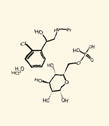 CC(C)NCC(O)c1ccccc1Cl.Cl.O.O=P(O)(O)OC[C@H]1O[C@H](O)[C@H](O)[C@@H](O)[C@@H]1O